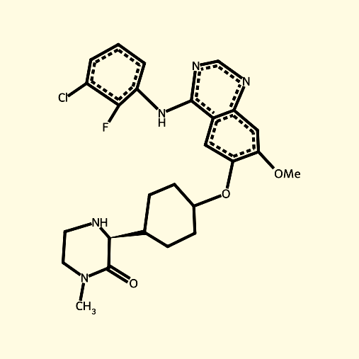 COc1cc2ncnc(Nc3cccc(Cl)c3F)c2cc1OC1CCC([C@@H]2NCCN(C)C2=O)CC1